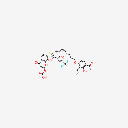 CCCc1c(OCCCC/C=C\C=C\[C@H](Sc2ccc3c(=O)cc(OC(=O)O)oc3c2)[C@H](O)c2coc(C(F)(F)F)c2)ccc(C(C)=O)c1O